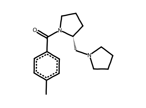 Cc1ccc(C(=O)N2CCC[C@@H]2CN2CCCC2)cc1